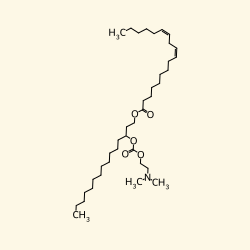 CCCCC/C=C\C/C=C\CCCCCCCC(=O)OCCC(CCCCCCCCCCCC)OC(=O)OCCN(C)C